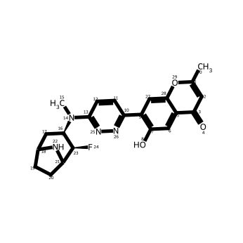 Cc1cc(=O)c2cc(O)c(-c3ccc(N(C)[C@@H]4CC5CCC(N5)[C@@H]4F)nn3)cc2o1